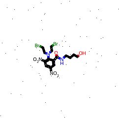 O=C(NCCCCO)c1cc([N+](=O)[O-])cc([N+](=O)[O-])c1N(CCBr)CCBr